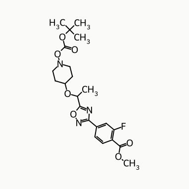 COC(=O)c1ccc(-c2noc(C(C)OC3CCN(OC(=O)OC(C)(C)C)CC3)n2)cc1F